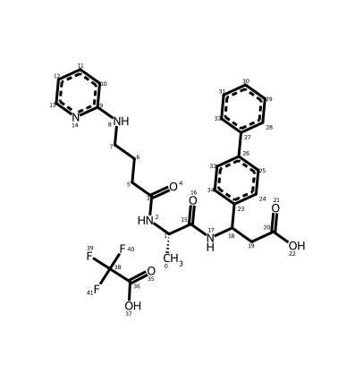 C[C@H](NC(=O)CCCNc1ccccn1)C(=O)NC(CC(=O)O)c1ccc(-c2ccccc2)cc1.O=C(O)C(F)(F)F